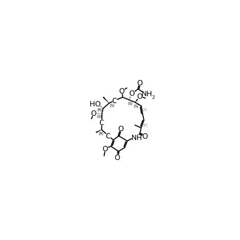 COC1=C2C[C@@H](C)C[C@H](OC)[C@H](O)[C@@H](C)CC(OC)[C@H](OC(N)=O)[C@@H](OC)/C=C\C=C(/C)C(=O)NC(=CC1=O)C2=O